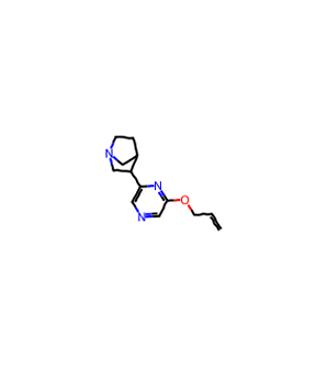 C=CCOc1cncc(C2CN3CCC2C3)n1